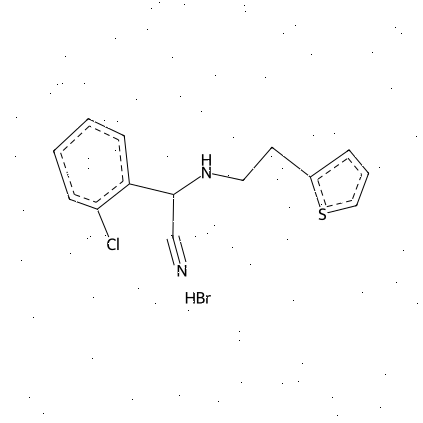 Br.N#CC(NCCc1cccs1)c1ccccc1Cl